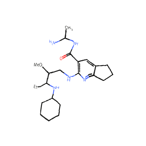 CCC(NC1CCCCC1)C(CNc1nc2c(cc1C(=O)NC(C)N)CCC2)OC